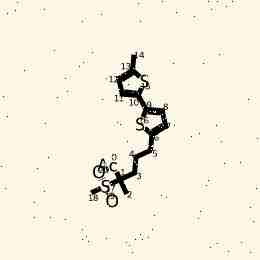 CC(=O)C(C)(CCCc1ccc(-c2ccc(C)s2)s1)S(C)(=O)=O